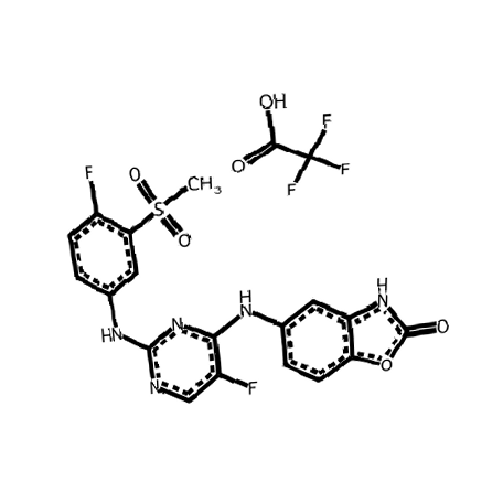 CS(=O)(=O)c1cc(Nc2ncc(F)c(Nc3ccc4oc(=O)[nH]c4c3)n2)ccc1F.O=C(O)C(F)(F)F